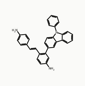 Nc1ccc(C=Cc2ccc(N)cc2-c2ccc3c(c2)c2ccccc2n3-c2ccccc2)cc1